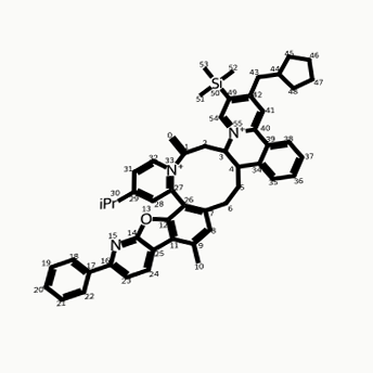 C=C1CC2C(CCc3cc(C)c4c(oc5nc(-c6ccccc6)ccc54)c3-c3cc(C(C)C)cc[n+]31)c1ccccc1-c1cc(CC3CCCC3)c([Si](C)(C)C)c[n+]12